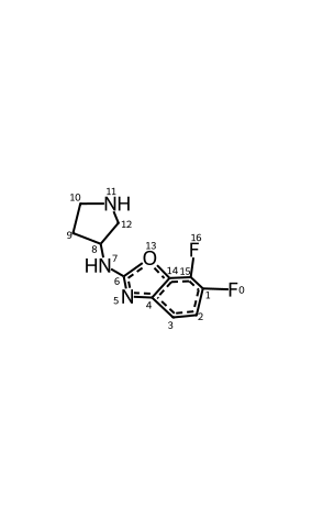 Fc1ccc2nc(NC3CCNC3)oc2c1F